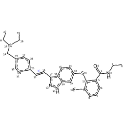 CCNC(=O)c1cccc(F)c1Sc1ccc2c(/C=C/c3ccc(CN(CC)CC)cn3)n[nH]c2c1